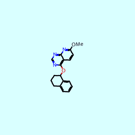 COc1ccc2c(OC3CCCc4ccccc43)ncnc2n1